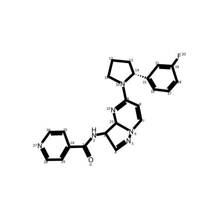 O=C(NC1C=NN2C=CC(N3CCC[C@@H]3c3cccc(F)c3)=NC12)c1ccncc1